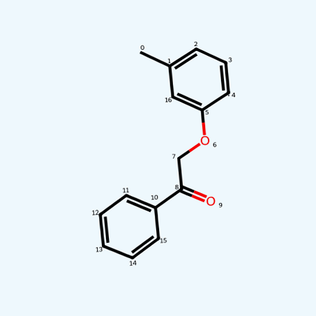 Cc1cc[c]c(OCC(=O)c2ccccc2)c1